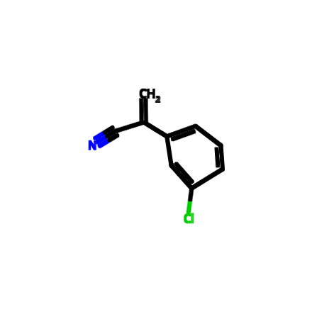 C=C(C#N)c1cccc(Cl)c1